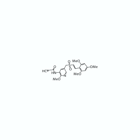 C#CC(=O)Nc1cc(CS(=O)(=O)C=Cc2c(OC)cc(OC)cc2OC)cnc1OC